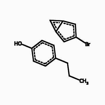 Brc1cc2cc-2c1.CCCc1ccc(O)cc1